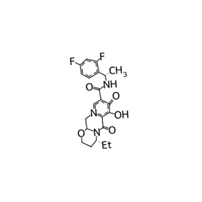 CC[C@@H]1CCOC2Cn3cc(C(=O)N[C@@H](C)c4ccc(F)cc4F)c(=O)c(O)c3C(=O)N21